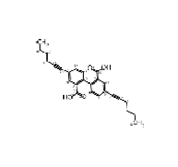 CCCCC#Cc1ccc(-c2ccc(C#CCCCC)cc2C(=O)O)c(C(=O)O)c1